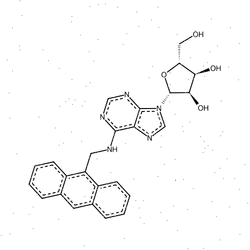 OC[C@H]1O[C@@H](n2cnc3c(NCc4c5ccccc5cc5ccccc45)ncnc32)[C@H](O)[C@@H]1O